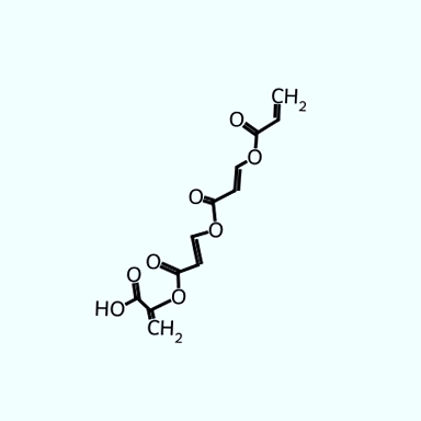 C=CC(=O)OC=CC(=O)OC=CC(=O)OC(=C)C(=O)O